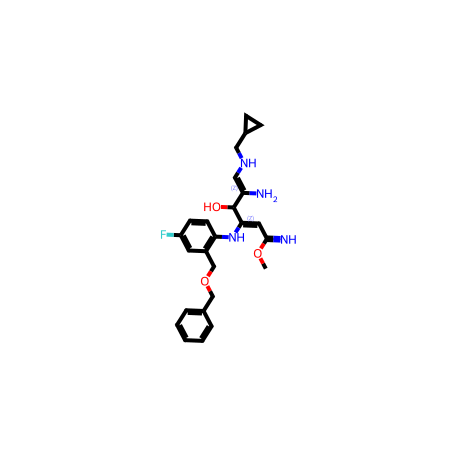 COC(=N)/C=C(\Nc1ccc(F)cc1COCc1ccccc1)C(O)/C(N)=C/NCC1CC1